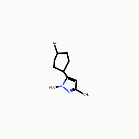 CC(=O)C1CCC(c2cc(C)nn2C)CC1